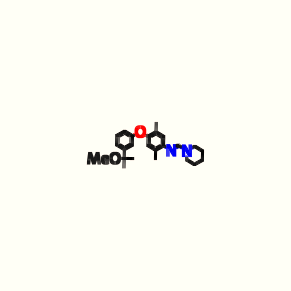 COC(C)(C)c1cccc(Oc2cc(C)c(/N=C/N3CCCCC3)cc2C)c1